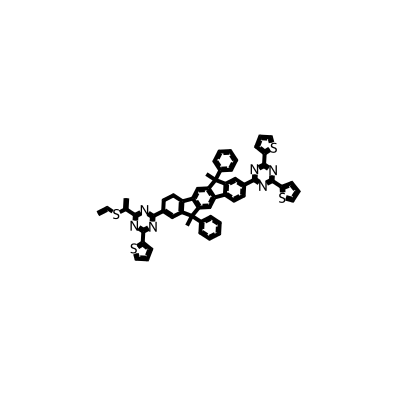 C=CSC(=C)c1nc(C2=CC3=C(CC2)c2cc4c(cc2C3(C)c2ccccc2)-c2ccc(-c3nc(-c5cccs5)nc(-c5cccs5)n3)cc2C4(C)c2ccccc2)nc(-c2cccs2)n1